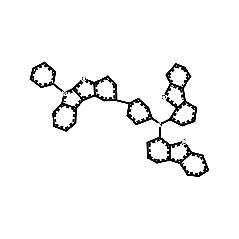 c1ccc(-n2c3ccccc3c3c4cc(-c5ccc(N(c6cccc7c6oc6ccccc67)c6cccc7c6oc6ccccc67)cc5)ccc4oc32)cc1